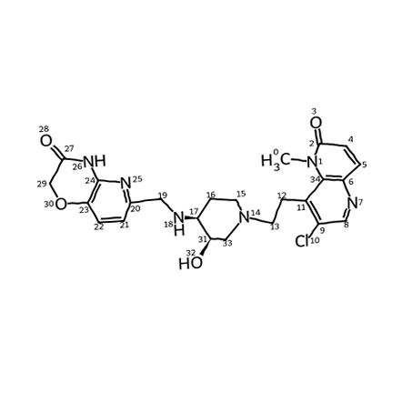 Cn1c(=O)ccc2ncc(Cl)c(CCN3CC[C@H](NCc4ccc5c(n4)NC(=O)CO5)[C@H](O)C3)c21